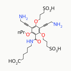 CCCOc1c(C#CCN)c(OCCCS(=O)(=O)O)c(C#CCN)c(OCCCS(=O)(=O)O)c1C(=O)NCCCCCC(=O)O